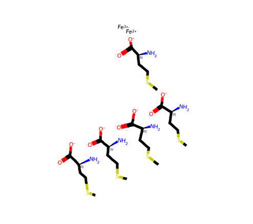 CSCC[C@H](N)C(=O)[O-].CSCC[C@H](N)C(=O)[O-].CSCC[C@H](N)C(=O)[O-].CSCC[C@H](N)C(=O)[O-].CSCC[C@H](N)C(=O)[O-].[Fe+2].[Fe+3]